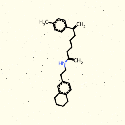 C=C(CCCCC(=C)c1ccc(C)cc1)NCCc1ccc2c(c1)CCCC2